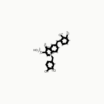 O=C(O)Oc1cn(Cc2ccc(Cl)c(Cl)c2)c2ccc(Cc3cccc(Cl)c3Cl)cc2c1=O